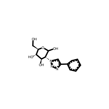 OC[C@H]1OC(O)[C@H](n2cc(-c3ccccc3)nn2)[C@@H](O)[C@@H]1O